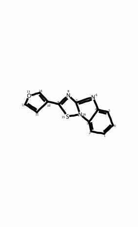 c1ccc2c(c1)nc1nc(-c3ccoc3)sn12